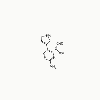 CC(C)(C)OC=O.Nc1ccc(C2=CCNC2)cn1